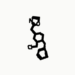 ClCC1CC(Cc2ncco2)CCC1Cc1ccccc1